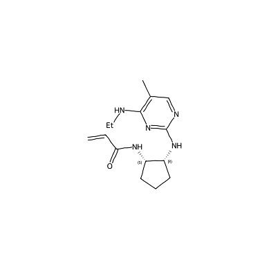 C=CC(=O)N[C@H]1CCC[C@H]1Nc1ncc(C)c(NCC)n1